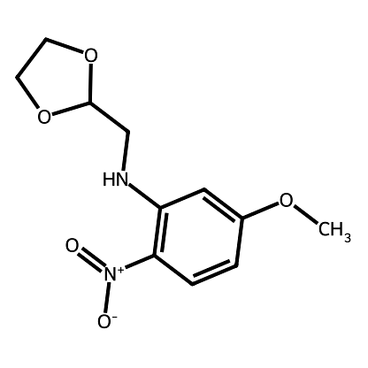 COc1ccc([N+](=O)[O-])c(NCC2OCCO2)c1